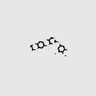 COc1cc(Nc2ncc(F)c(Nc3ccc4c(c3)NC(=O)C(C)(C)S4)n2)cc(O)c1OC